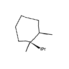 CC(C)[C@@]1(C)CCCCC1C